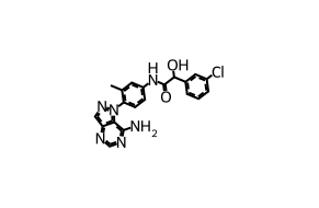 Cc1cc(NC(=O)C(O)c2cccc(Cl)c2)ccc1-n1ncc2ncnc(N)c21